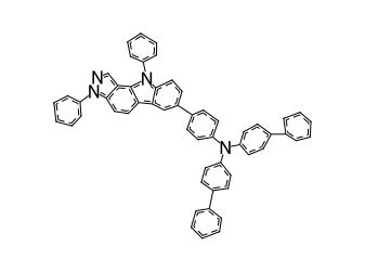 c1ccc(-c2ccc(N(c3ccc(-c4ccccc4)cc3)c3ccc(-c4ccc5c(c4)c4ccc6c(cnn6-c6ccccc6)c4n5-c4ccccc4)cc3)cc2)cc1